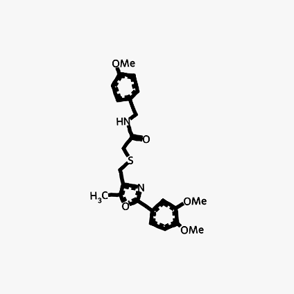 COc1ccc(CNC(=O)CSCc2nc(-c3ccc(OC)c(OC)c3)oc2C)cc1